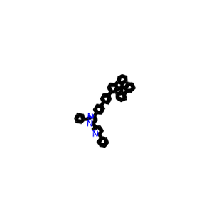 c1ccc(-c2ccc(-c3cc(-c4ccc(-c5ccc(-c6ccc7c(c6)C6(c8ccccc8-c8ccccc86)c6ccccc6-7)cc5)cc4)nc(-c4ccccc4)n3)cn2)cc1